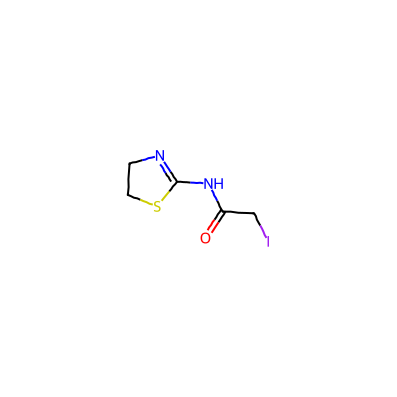 O=C(CI)NC1=NCCS1